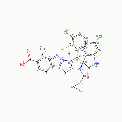 Cc1c(C(=O)O)ccc2c3n(nc12)[C@@H]1C(C3)N(CC2CC2)[C@@]2(C(=O)Nc3cc(Cl)ccc32)[C@H]1c1cccc(Cl)c1F